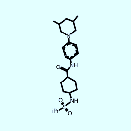 CC1CC(C)CN(c2ccc(NC(=O)C3CCC(NS(=O)(=O)C(C)C)CC3)cc2)C1